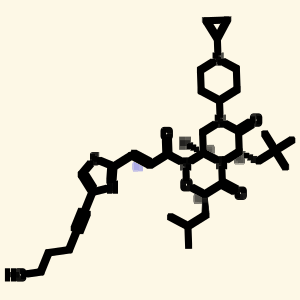 CC(C)C[C@H]1ON(C(=O)/C=C/c2nc(C#CCCCO)cs2)[C@H]2CN(C3CCN(C4CC4)CC3)C(=O)[C@H](CC(C)(C)C)N2C1=O